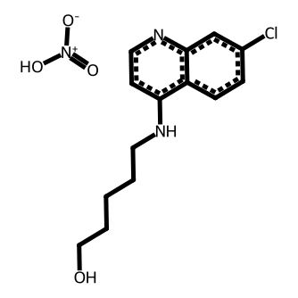 O=[N+]([O-])O.OCCCCCNc1ccnc2cc(Cl)ccc12